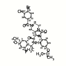 COc1ccc([C@H](C)NC(=O)c2c3n(c(=O)n2-c2ccc(OC(C)C)cc2)CCN(C(=O)c2ccc(Br)c(Cl)c2)C3)c(F)c1